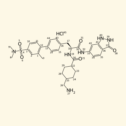 Cc1cc(S(=O)(=O)N(C)C)ccc1-c1ccc(C[C@H](NC(=O)C2CCC(CN)CC2)C(=O)Nc2ccc3c(=O)[nH][nH]c3c2)cc1.Cl